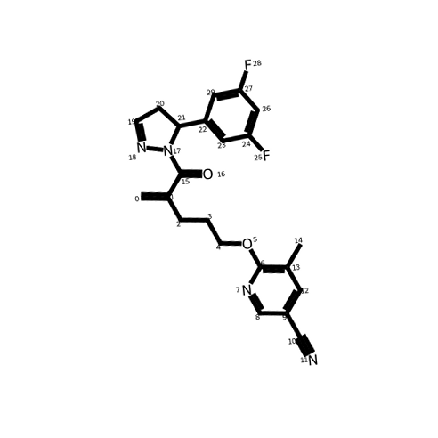 C=C(CCCOc1ncc(C#N)cc1C)C(=O)N1N=CCC1c1cc(F)cc(F)c1